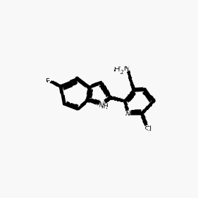 Nc1ccc(Cl)nc1-c1cc2cc(F)ccc2[nH]1